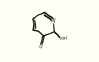 O=C1C=CC=NC1O